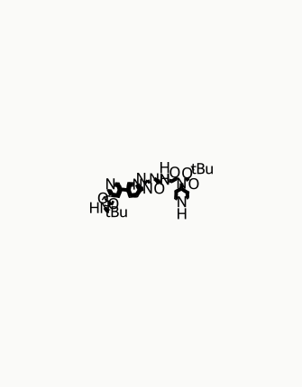 CC(C)(C)NS(=O)(=O)c1cncc(-c2ccc3nc(NC(=O)NCC(=O)N(C(=O)OC(C)(C)C)C4CCNCC4)nn3c2)c1